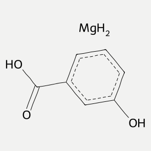 O=C(O)c1cccc(O)c1.[MgH2]